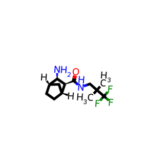 CC(C)(CNC(=O)[C@H]1[C@@H]2CC[C@@H](C2)[C@H]1N)C(F)(F)F